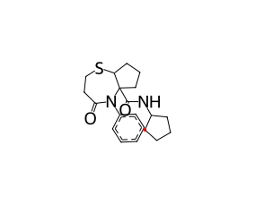 O=C1CCSC2CCCC2(C(=O)NC2CCCC2)N1c1ccccc1